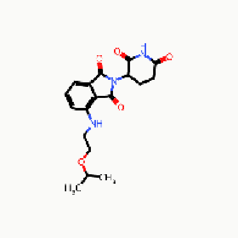 CC(C)OCCNc1cccc2c1C(=O)N(C1CCC(=O)NC1=O)C2=O